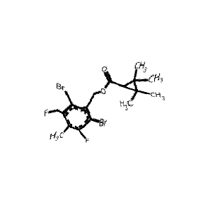 Cc1c(F)c(Br)c(COC(=O)C2C(C)(C)C2(C)C)c(Br)c1F